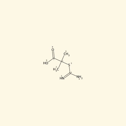 CC(C)(SC(=N)N)C(=O)O